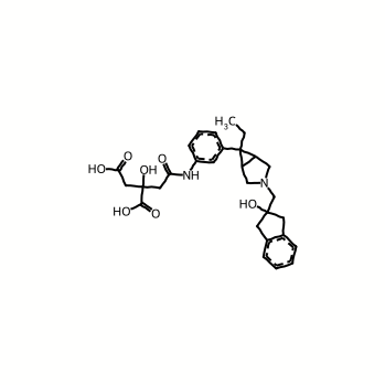 CCC1(c2cccc(NC(=O)CC(O)(CC(=O)O)C(=O)O)c2)C2CN(CC3(O)Cc4ccccc4C3)CC21